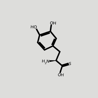 N[C@@H](Cc1ccc(O)c(O)c1)C(O)=S